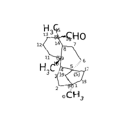 C[C@@]12CCC3[C@@](CCC4[C@@]3(C)CCC[C@@]4(C)C=O)(CC1)C2